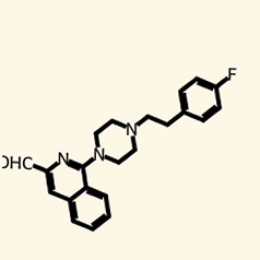 O=Cc1cc2ccccc2c(N2CCN(CCc3ccc(F)cc3)CC2)n1